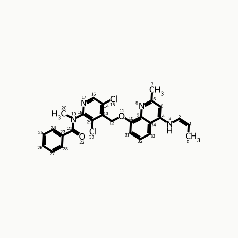 C/C=C\Nc1cc(C)nc2c(OCc3c(Cl)cnc(N(C)C(=O)c4ccccc4)c3Cl)cccc12